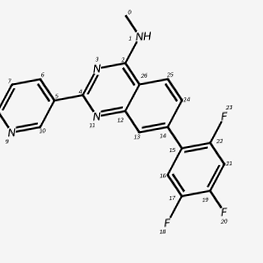 CNc1nc(-c2cccnc2)nc2cc(-c3cc(F)c(F)cc3F)ccc12